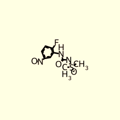 CS(C)(=O)=NC(=O)Nc1cc(N=O)ccc1F